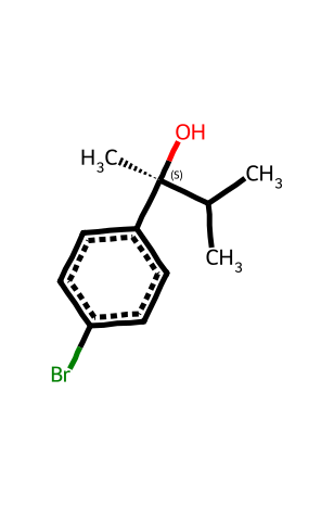 CC(C)[C@](C)(O)c1ccc(Br)cc1